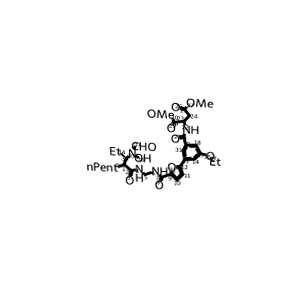 CCCCCC(C(=O)NCNC(=O)c1ccc(-c2cc(OCC)cc(C(=O)NC(CC(=O)OC)C(=O)OC)c2)o1)[C@@H](CC)N(O)C=O